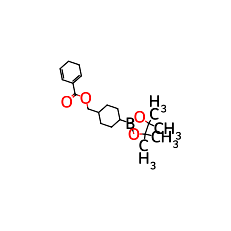 CC1(C)OB(C2CCC(COC(=O)C3=CCCC=C3)CC2)OC1(C)C